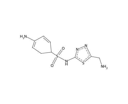 NCc1nnc(NS(=O)(=O)C2C=CC(N)=CC2)s1